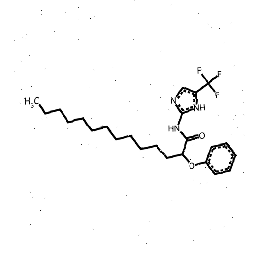 CCCCCCCCCCCCC(Oc1ccccc1)C(=O)Nc1ncc(C(F)(F)F)[nH]1